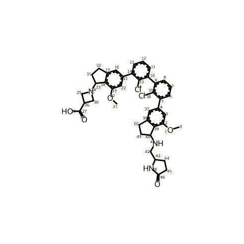 COc1cc(-c2cccc(-c3cccc(-c4cc5c(c(OC)c4)C(N4CC(C(=O)O)C4)CC5)c3Cl)c2Cl)cc2c1C(NCC1CCC(=O)N1)CC2